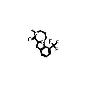 CN1CCCN2c3c(cccc3C(F)(F)F)CC2C1=O